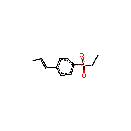 C/C=C/c1ccc(S(=O)(=O)CC)cc1